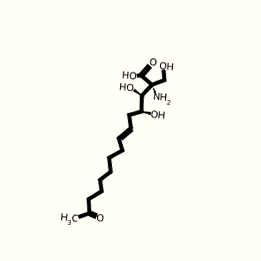 CC(=O)CCCCCC/C=C/C[C@H](O)[C@@H](O)[C@](N)(CO)C(=O)O